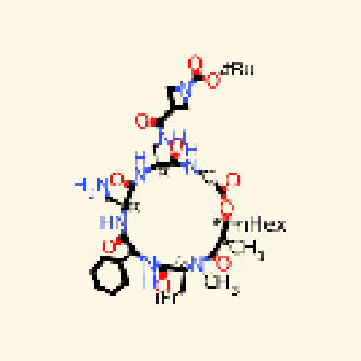 CCCCCC[C@H]1OC(=O)CNC(=O)[C@H](CNC(=O)C2CN(C(=O)OC(C)(C)C)C2)NC(=O)[C@H](CN)NC(=O)[C@H](C2CCCCC2)NC(=O)[C@H](CC(C)C)N(C)C(=O)[C@@H]1C